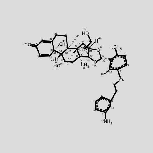 Cc1ccc(OCCc2cccc(N)c2)c(F)c1[C@H]1O[C@@H]2C[C@H]3[C@@H]4CCC5=CC(=O)C=C[C@]5(C)[C@H]4[C@@H](O)C[C@]3(C)[C@]2(C(=O)CO)O1